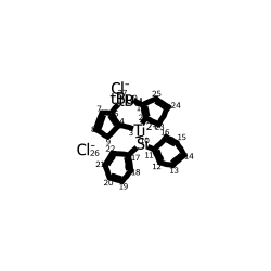 CC(C)(C)C1=[C]([Ti+2]([C]2=C(C(C)(C)C)C=CC2)=[Si](c2ccccc2)c2ccccc2)CC=C1.[Cl-].[Cl-]